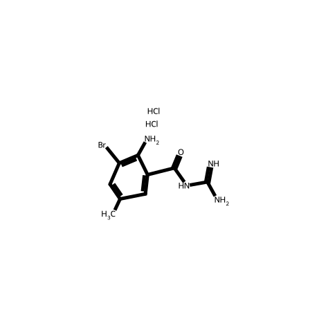 Cc1cc(Br)c(N)c(C(=O)NC(=N)N)c1.Cl.Cl